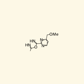 COCc1ccnc(C(=N)OC(C)=N)n1